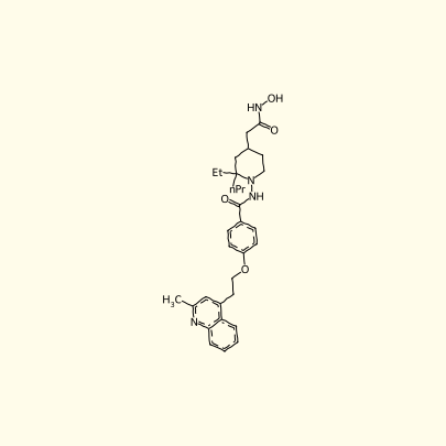 CCCC1(CC)CC(CC(=O)NO)CCN1NC(=O)c1ccc(OCCc2cc(C)nc3ccccc23)cc1